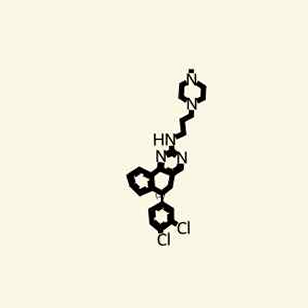 CN1CCN(CCCNc2ncc3c(n2)-c2ccccc2[C@H](c2ccc(Cl)c(Cl)c2)C3)CC1